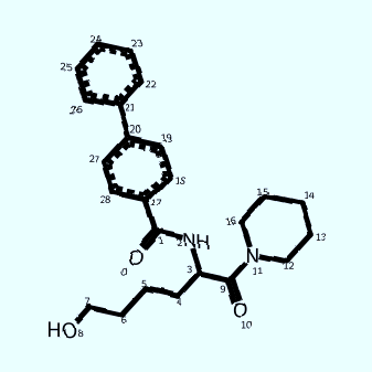 O=C(NC(CCCCO)C(=O)N1CCCCC1)c1ccc(-c2ccccc2)cc1